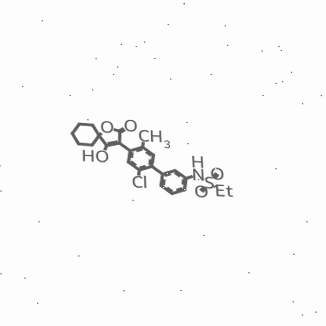 CCS(=O)(=O)Nc1cccc(-c2cc(C)c(C3=C(O)C4(CCCCC4)OC3=O)cc2Cl)c1